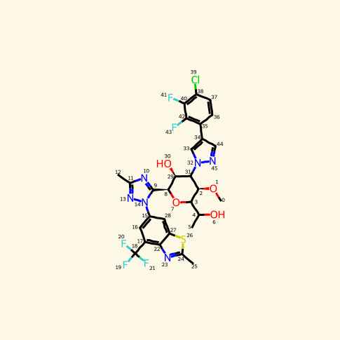 CO[C@H]1C(C(C)O)O[C@@H](c2nc(C)nn2-c2cc(C(F)(F)F)c3nc(C)sc3c2)[C@@H](O)C1n1cc(-c2ccc(Cl)c(F)c2F)cn1